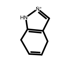 C1=CCC2=C(C=[N+]N2)C1